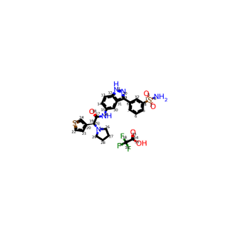 NS(=O)(=O)c1cccc(-c2n[nH]c3ccc(NC(=O)[C@H](c4ccsc4)N4CCCC4)cc23)c1.O=C(O)C(F)(F)F